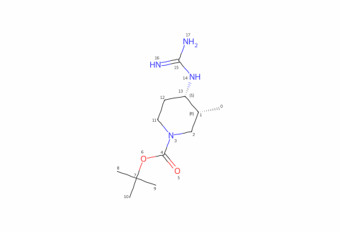 C[C@@H]1CN(C(=O)OC(C)(C)C)CC[C@@H]1NC(=N)N